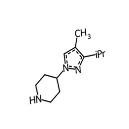 Cc1cn(C2CCNCC2)nc1C(C)C